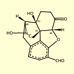 O=Cc1ccc2c3c1O[C@H]1C(=O)CC[C@@]4(O)[C@@H](C2)N(O)CC[C@]314